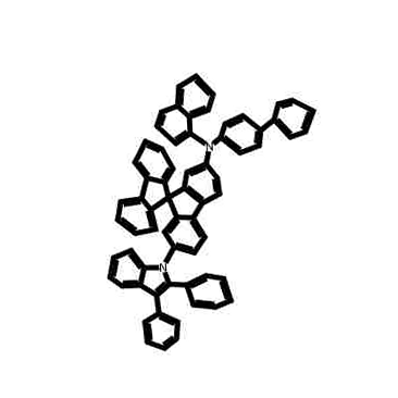 c1ccc(-c2ccc(N(c3ccc4c(c3)C3(c5ccccc5-c5ccccc53)c3cc(-n5c(-c6ccccc6)c(-c6ccccc6)c6ccccc65)ccc3-4)c3cccc4ccccc34)cc2)cc1